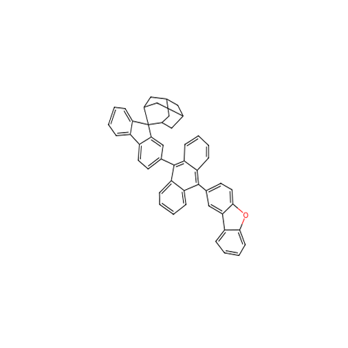 c1ccc2c(c1)-c1ccc(-c3c4ccccc4c(-c4ccc5oc6ccccc6c5c4)c4ccccc34)cc1C21C2CC3CC(C2)CC1C3